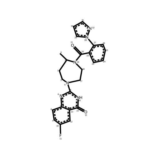 CC1CCN(c2nc3ccc(F)cc3c(=O)[nH]2)CCN1C(=O)c1ccccc1-n1cccn1